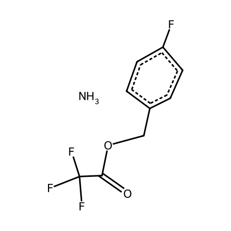 N.O=C(OCc1ccc(F)cc1)C(F)(F)F